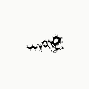 CCCCOC(=O)N1CCN(Cc2nn(C(=O)O)c3ccccc23)[C@@H](C)C1